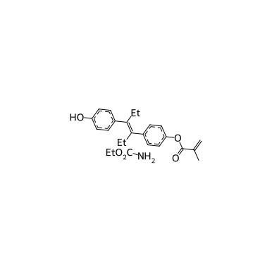 C=C(C)C(=O)Oc1ccc(/C(CC)=C(\CC)c2ccc(O)cc2)cc1.CCOC(N)=O